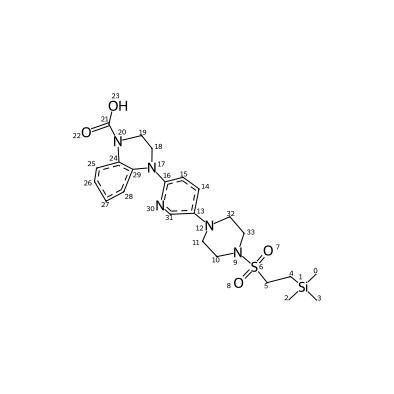 C[Si](C)(C)CCS(=O)(=O)N1CCN(c2ccc(N3CCN(C(=O)O)c4ccccc43)nc2)CC1